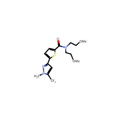 COCCN(CCOC)C(=O)c1ccc(-c2cc(C(F)(F)F)n(C)n2)s1